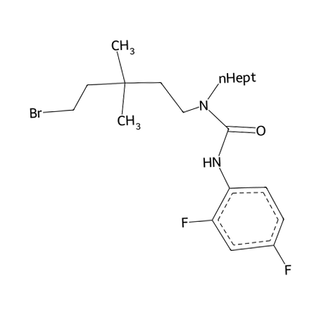 CCCCCCCN(CCC(C)(C)CCBr)C(=O)Nc1ccc(F)cc1F